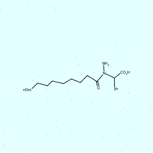 CCCCCCCCCCCCCCCCCC(=O)N(N)C(C(=O)O)C(C)C